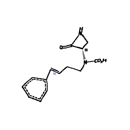 O=C1NC[C@@H]1N(CC/C=C/c1ccccc1)C(=O)O